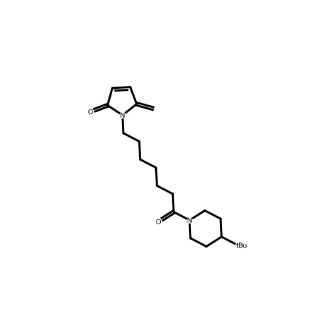 C=C1C=CC(=O)N1CCCCCCC(=O)N1CCC(C(C)(C)C)CC1